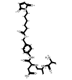 CC(CNC(CC(=O)O)C(=O)Nc1ccc(COC(=O)CCCCCN2C(=O)C=CC2=O)cc1)NC(=O)C(C)N